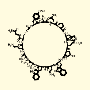 CCCC[C@H]1C(=O)N(C)[C@@H](CCCC)C(=O)N[C@@H](CCCN)C(=O)N[C@H](C(=O)NCC(N)=O)CSCC(=O)N[C@@H](Cc2ccc(OC)cc2)C(=O)N(C)[C@@H](C)C(=O)N[C@@H](CC(N)=O)C(=O)N2CCCC2C(=O)N[C@@H](Cc2cnc[nH]2)C(=O)N[C@@H](CCC(=O)O)C(=O)C2C[C@H](O)C[C@H]2C(=O)N[C@@H](Cc2c[nH]c3ccccc23)C(=O)N[C@@H](CCN)C(=O)N[C@@H](Cc2c[nH]c3ccccc23)C(=O)N1C